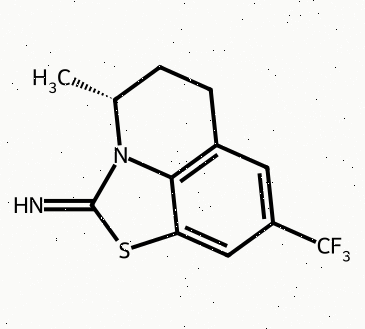 C[C@@H]1CCc2cc(C(F)(F)F)cc3sc(=N)n1c23